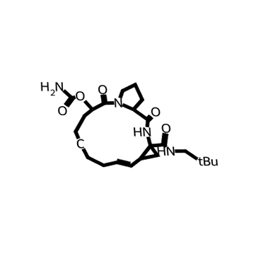 CC(C)(C)CNC(=O)C12CC1/C=C/CCCCCC(OC(N)=O)C(=O)N1CCCC1C(=O)N2